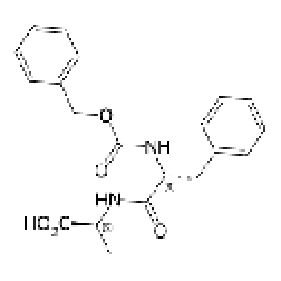 C[C@H](NC(=O)[C@@H](Cc1ccccc1)NC(=O)OCc1ccccc1)C(=O)O